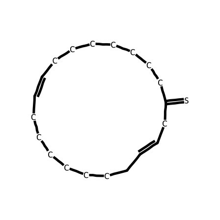 S=C1C/C=C/CCCCCCC/C=C\CCCCCCC1